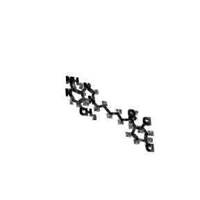 Cc1cnc(N)c2ncn(CCCCC[S+]([O-])c3ccc(Cl)cc3Cl)c12